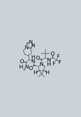 CC(C)(C)C(NC(=O)C(F)(F)F)C(=O)N1C[C@H]2[C@@H]([C@H]1C(=O)NC(C(N)=O)C1CCn3cnnc3C1)C2(C)C